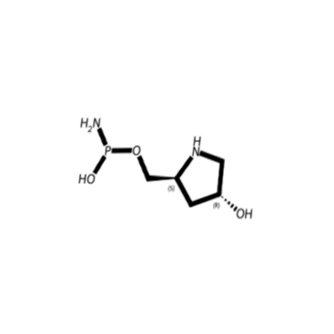 NP(O)OC[C@@H]1C[C@@H](O)CN1